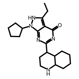 CCc1[nH]n(C2CCCC2)c2nc(C3CCNC4CCCCC43)nc(=O)c1-2